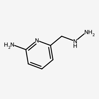 NNCc1cccc(N)n1